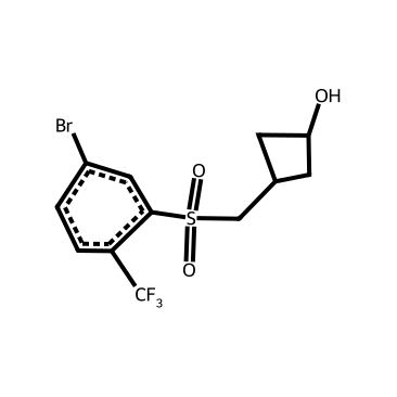 O=S(=O)(CC1CC(O)C1)c1cc(Br)ccc1C(F)(F)F